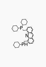 c1cc(CPC2CCCCC2)c2nc3c(CP(C4CCCCC4)C4CCCCC4)cccc3cc2c1